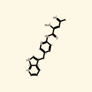 CN/C(=C\C(C)=N)C(=O)Nc1ccc(Cc2c[nH]c3ncccc23)cn1